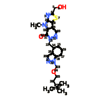 Cn1c2nc(CO)sc2c2cnn(Cc3cccc4c3cnn4COCC[Si](C)(C)C)c(=O)c21